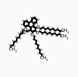 C#Cc1c(OCCCCCCCCCC)c(OCCCCCCCCCC)c(OCCCCCCCCCC)c2c3ccccc3c3cccc(OCCCCCCCCCC)c3c12